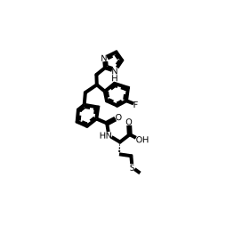 CSCC[C@H](NC(=O)c1cccc(CC(Cc2ncc[nH]2)c2ccc(F)cc2)c1)C(=O)O